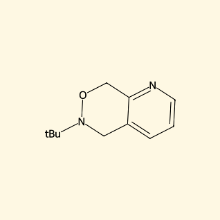 CC(C)(C)N1Cc2cccnc2CO1